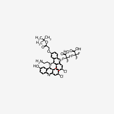 CC(C)(C)OC(=O)COc1ccc2nc3cc(Cl)ccc3c(N(CCN)c3c4ccc(Cl)cc4nc4ccc(O)cc34)c2c1.O=C(O)C(F)(F)F.O=C(O)C(F)(F)F